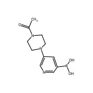 CC(=O)N1CCN(c2cncc(B(O)O)c2)CC1